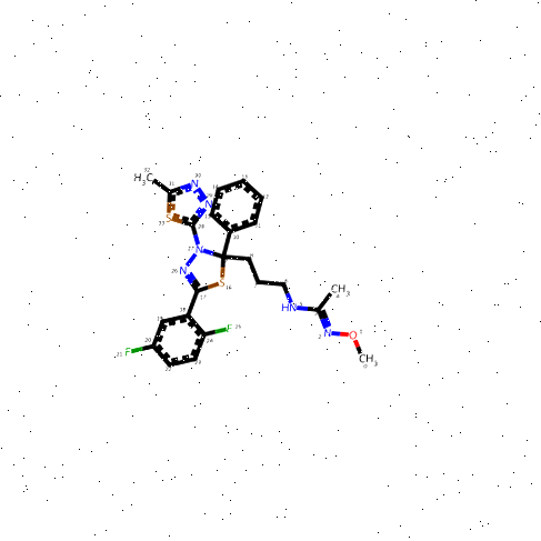 CO/N=C(\C)NCCCC1(c2ccccc2)SC(c2cc(F)ccc2F)=NN1c1nnc(C)s1